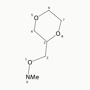 CNOCC1COCCO1